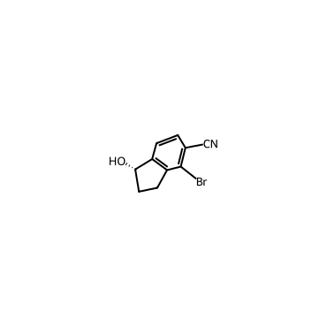 N#Cc1ccc2c(c1Br)CC[C@@H]2O